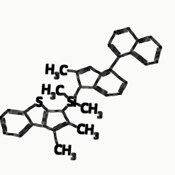 CC1=Cc2c(-c3cccc4ccccc34)cccc2C1[Si](C)(C)C1C(C)=C(C)c2c1sc1ccccc21